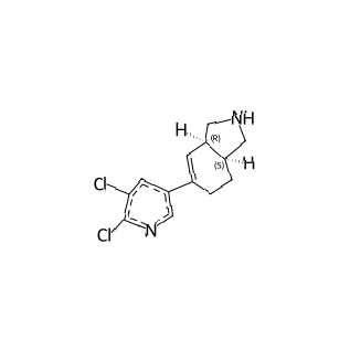 Clc1cc(C2=C[C@H]3CNC[C@H]3CC2)cnc1Cl